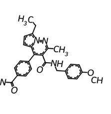 CCc1ccc2c(-c3ccc(C(N)=O)cc3)c(C(=O)NCc3ccc(OC)cc3)c(C)nn12